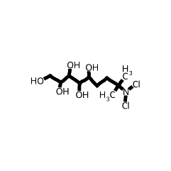 CC(C)(CCC(O)C(O)C(O)C(O)CO)N(Cl)Cl